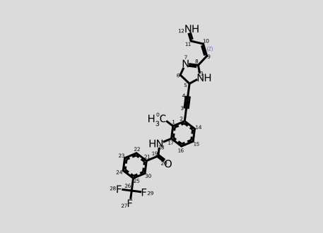 Cc1c(C#CC2CN=C(/C=C\C=N)N2)cccc1NC(=O)c1cccc(C(F)(F)F)c1